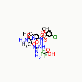 COc1ccc(Cl)cc1S(=O)(=O)Nc1ccc(C)n(C(C(N)=O)C(C)ON=C(N)N)c1=O.O=C(O)C(F)(F)F